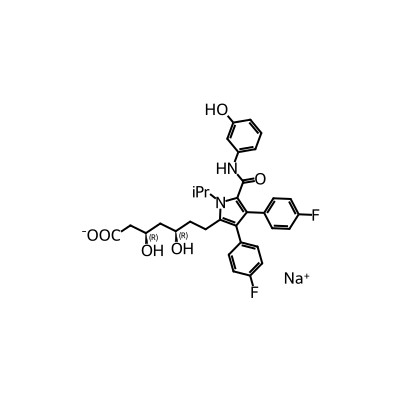 CC(C)n1c(CC[C@@H](O)C[C@@H](O)CC(=O)[O-])c(-c2ccc(F)cc2)c(-c2ccc(F)cc2)c1C(=O)Nc1cccc(O)c1.[Na+]